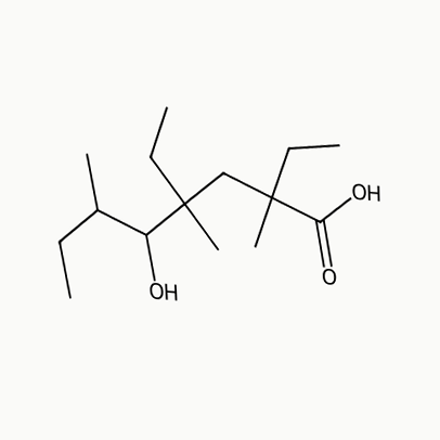 CCC(C)C(O)C(C)(CC)CC(C)(CC)C(=O)O